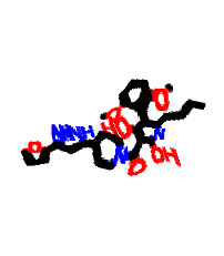 CCCCc1nc(O)c(C(=O)N2CCC(c3cc(-c4ccco4)n[nH]3)CC2)c(O)c1-c1c(OC)cccc1OC